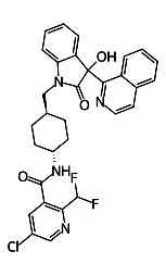 O=C(N[C@H]1CC[C@H](CN2C(=O)C(O)(c3nccc4ccccc34)c3ccccc32)CC1)c1cc(Cl)cnc1C(F)F